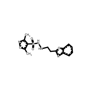 Cc1noc(C)c1S(=O)(=O)NNCCc1nc2ccccc2o1